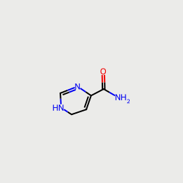 NC(=O)C1=CCNC=N1